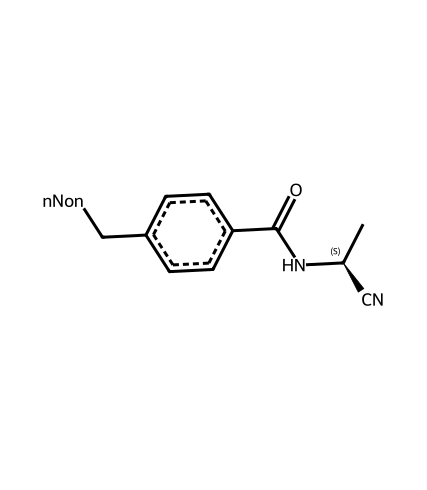 CCCCCCCCCCc1ccc(C(=O)N[C@@H](C)C#N)cc1